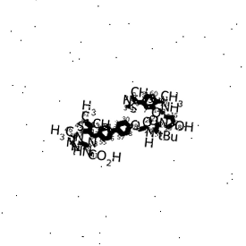 Cc1ncsc1-c1ccc(C(C)NC(=O)[C@@H]2C[C@@H](O)CN2C(=O)C(NC(=O)COc2ccc(-c3ccc(C4=N[C@@H](NC(=O)O)c5nnc(C)n5-c5sc(C)c(C)c54)cc3)cc2)C(C)(C)C)cc1